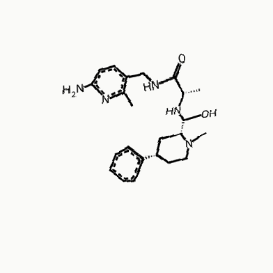 Cc1nc(N)ccc1CNC(=O)[C@H](C)NC(O)[C@H]1C[C@@H](c2ccccc2)CCN1C